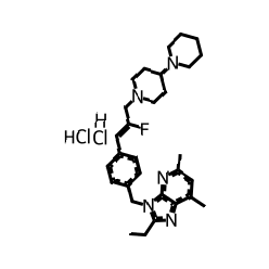 CCc1nc2c(C)cc(C)nc2n1Cc1ccc(C=C(F)CN2CCC(N3CCCCC3)CC2)cc1.Cl.Cl